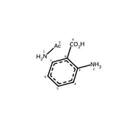 CC(N)=O.Nc1ccccc1C(=O)O